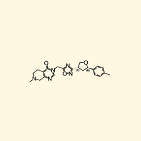 Cc1ccc([C@H]2C[C@H](c3noc(Cn4cnc5c(c4=O)CCN(C)C5)n3)CO2)cc1